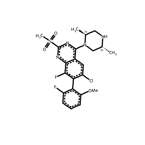 COc1cccc(F)c1-c1c(Cl)cc2c(N3C[C@@H](C)NC[C@@H]3C)nc(S(C)(=O)=O)nc2c1F